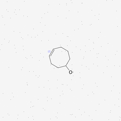 [O]C1CC/C=C\CCC1